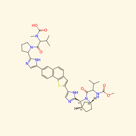 COC(=O)NC(C(=O)N1[C@@H]2CC[C@@H](C2)[C@H]1c1ncc(-c2cc3ccc4cc(-c5cnc(C6CCCN6C(=O)C(C(C)C)N(C)C(=O)O)[nH]5)ccc4c3s2)[nH]1)C(C)C